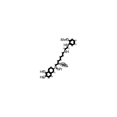 CCCN(CCCCCCCNCCNc1ccccc1OC)[C@H]1CCc2c(ccc(O)c2O)C1.Cl.Cl.Cl